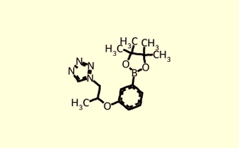 CC(Cn1cnnn1)Oc1cccc(B2OC(C)(C)C(C)(C)O2)c1